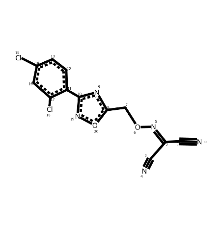 N#CC(C#N)=NOCc1nc(-c2ccc(Cl)cc2Cl)no1